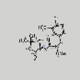 CON(Cc1ccc(F)c(C)c1)C(=O)/C=C1\OC(C)(C)OC1=O